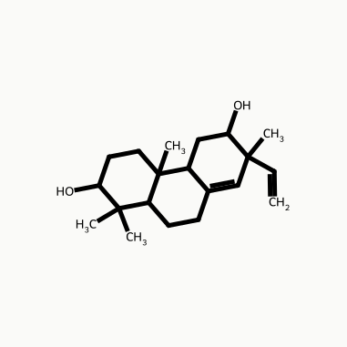 C=CC1(C)C=C2CCC3C(C)(C)C(O)CCC3(C)C2CC1O